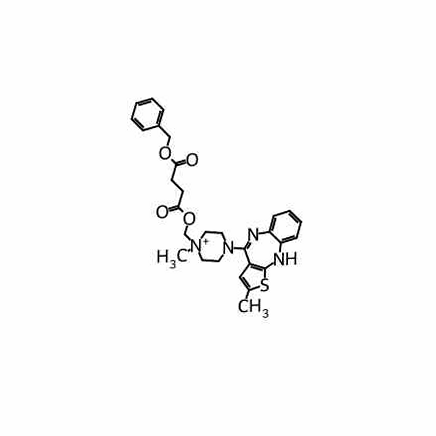 Cc1cc2c(s1)Nc1ccccc1N=C2N1CC[N+](C)(COC(=O)CCC(=O)OCc2ccccc2)CC1